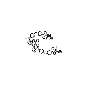 CCCCNS(=O)(=O)c1ccc(Cc2ccc(NC3=NCCN3OC(=O)C(=O)ON3CCN=C3Nc3ccc(Cc4ccc(S(=O)(=O)NCCCC)cc4)cc3)cc2)cc1